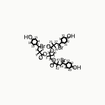 CCC(COC(=O)C(C)(C)CC(Br)c1ccc(O)cc1)(COC(=O)C(C)(C)CC(Br)c1ccc(O)cc1)COC(=O)C(C)(C)CC(Br)c1ccc(O)cc1